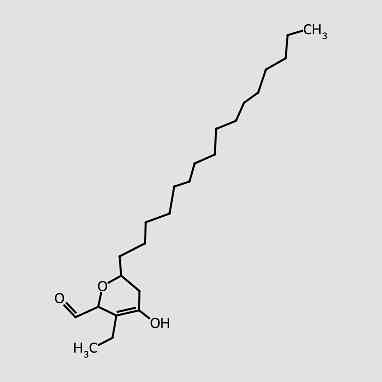 CCCCCCCCCCCCCCCCC1CC(O)=C(CC)C(C=O)O1